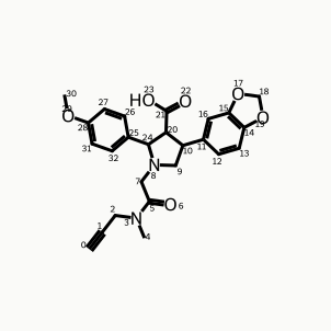 C#CCN(C)C(=O)CN1CC(c2ccc3c(c2)OCO3)C(C(=O)O)C1c1ccc(OC)cc1